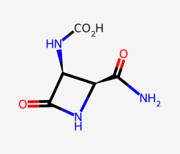 NC(=O)[C@H]1NC(=O)[C@H]1NC(=O)O